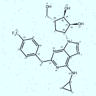 OC[C@H]1C[C@@H](n2nnc3c(NC4CC4)nc(Sc4ccc(C(F)(F)F)cc4)nc32)[C@H](O)[C@@H]1O